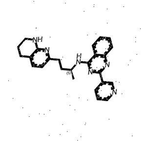 C[C@@H](C[CH]c1ccc2c(n1)NCCC2)Nc1nc(-c2cccnc2)nc2ccccc12